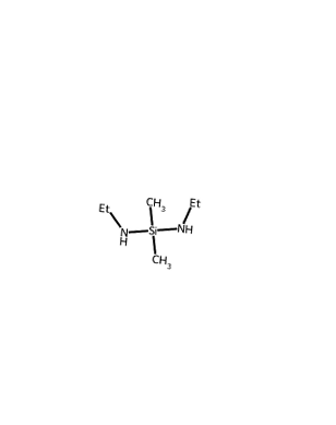 CCN[Si](C)(C)NCC